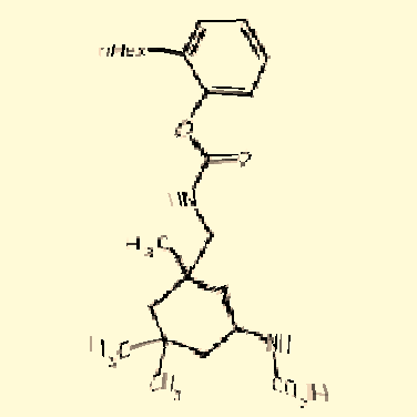 CCCCCCc1ccccc1OC(=O)NCC1(C)CC(NC(=O)O)CC(C)(C)C1